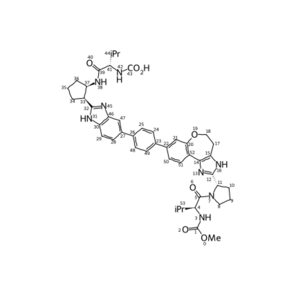 COC(=O)N[C@H](C(=O)N1CCC[C@H]1c1nc2c([nH]1)CCOc1cc(-c3ccc(-c4ccc5[nH]c([C@H]6CCC[C@H]6NC(=O)[C@@H](NC(=O)O)C(C)C)nc5c4)cc3)ccc1-2)C(C)C